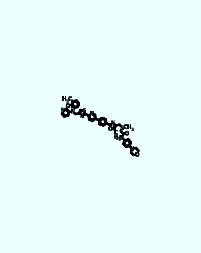 Cc1ccccc1Oc1ncccc1NCc1csc(-c2ccc(-c3ccc(-c4nc(CN(C)CC(=O)Nc5ccc(N6CCOCC6)cc5)c(C)o4)cc3)cn2)n1